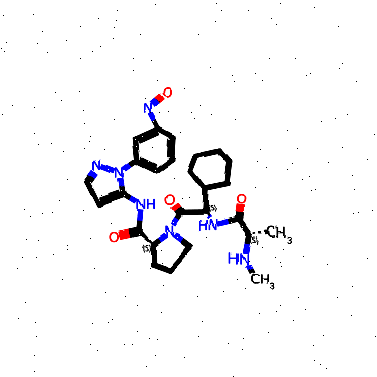 CN[C@@H](C)C(=O)N[C@H](C(=O)N1CCC[C@H]1C(=O)Nc1ccnn1-c1cccc(N=O)c1)C1CCCCC1